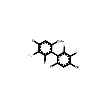 Bc1c(F)cc(OC)c(-c2c(F)cc(C)c(F)c2F)c1F